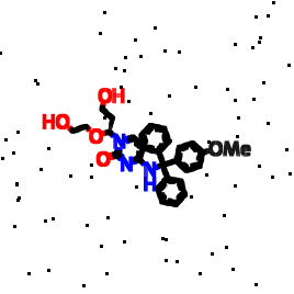 COc1ccc(C(Nc2ccn([C@H](CCO)OCCO)c(=O)n2)(c2ccccc2)c2ccccc2)cc1